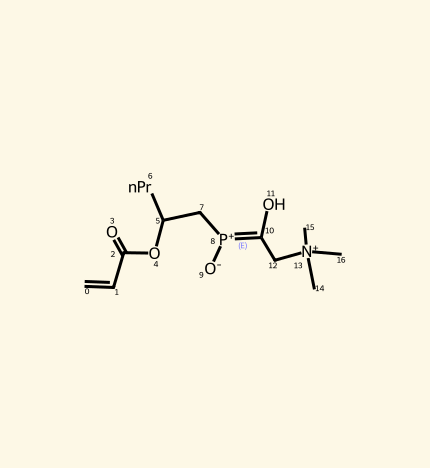 C=CC(=O)OC(CCC)C/[P+]([O-])=C(\O)C[N+](C)(C)C